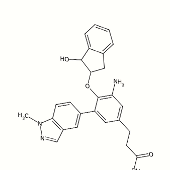 Cn1ncc2cc(-c3cc(CCC(=O)O)cc(N)c3OC3Cc4ccccc4C3O)ccc21